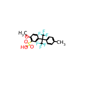 COc1ccc(C(c2ccc(C)cc2)(C(F)(F)F)C(F)(F)F)cc1S(=O)(=O)O